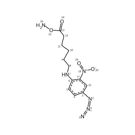 [N-]=[N+]=Nc1ccc(NCCCCCC(=O)ON)c([N+](=O)[O-])c1